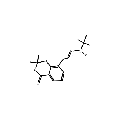 CC1(C)OC(=O)c2cccc(C/C=N/[S@+]([O-])C(C)(C)C)c2O1